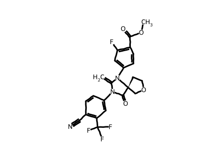 C=C1N(c2ccc(C#N)c(C(F)(F)F)c2)C(=O)[C@]2(CCOC2)N1c1ccc(C(=O)OC)c(F)c1